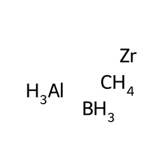 B.C.[AlH3].[Zr]